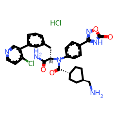 Cl.NC[C@H]1CC[C@H](C(=O)N(c2ccc(-c3noc(=O)[nH]3)cc2)[C@@H](Cc2cccc(-c3cnccc3Cl)c2)C(N)=O)CC1